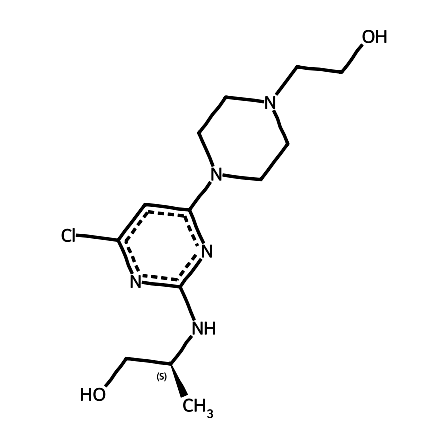 C[C@@H](CO)Nc1nc(Cl)cc(N2CCN(CCO)CC2)n1